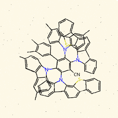 Cc1ccc2c(c1)c1cc(C)ccc1n2-c1c(-c2ccc(C)c(C)c2)c(-n2c3ccc(C)cc3c3cc(C)ccc32)c(-n2c3ccccc3c3ccc4c5ccccc5sc4c32)c(C#N)c1-n1c2ccccc2c2ccc3c4ccccc4sc3c21